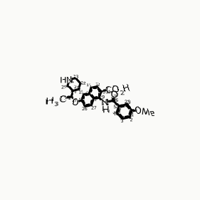 COc1cccc(C(=O)Nc2c(C(=O)O)ccc3cc(OC(C)C4CCCNC4)ccc23)c1